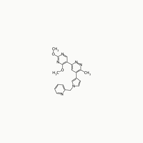 COc1ncc(-c2cc(-c3ccn(Cc4ccccn4)c3)c(C)nn2)c(OC)n1